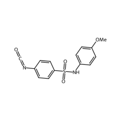 COc1ccc(NS(=O)(=O)c2ccc(N=C=O)cc2)cc1